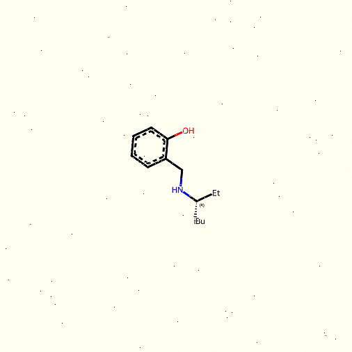 CCC(C)[C@@H](CC)NCc1ccccc1O